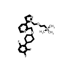 C[Si](C)(C)CCOCn1nccc1-c1cccnc1COC1CCC(c2c(F)ccc(F)c2F)CC1